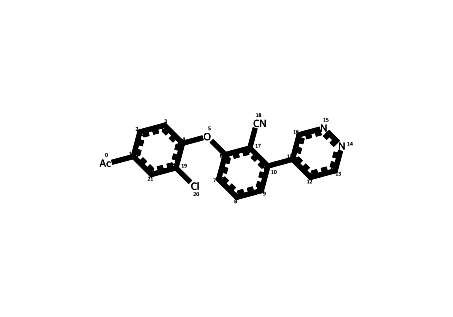 CC(=O)c1ccc(Oc2cccc(-c3ccnnc3)c2C#N)c(Cl)c1